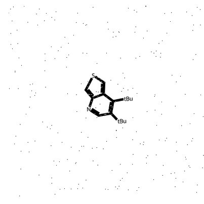 CC(C)(C)c1cnc2cscc2c1C(C)(C)C